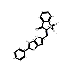 O=C1/C(=C\c2cc3oc(-c4ccccc4)nc3s2)S(=O)(=O)c2ccccc21